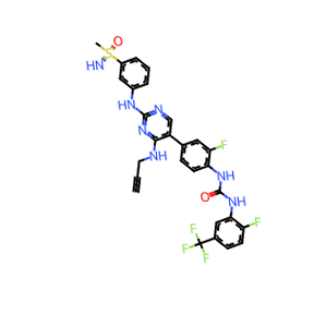 C#CCNc1nc(Nc2cccc(S(C)(=N)=O)c2)ncc1-c1ccc(NC(=O)Nc2cc(C(F)(F)F)ccc2F)c(F)c1